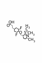 Cc1ccc(COc2c(F)cc(CCC(=O)O)cc2F)c(SC(C)C)n1